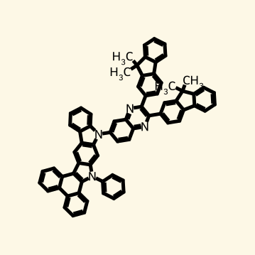 CC1(C)c2ccccc2-c2ccc(-c3nc4ccc(-n5c6ccccc6c6cc7c8c9ccccc9c9ccccc9c8n(-c8ccccc8)c7cc65)cc4nc3-c3ccc4c(c3)C(C)(C)c3ccccc3-4)cc21